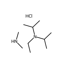 CCN(C(C)C)C(C)C.CNC.Cl